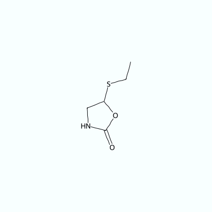 CCSC1CNC(=O)O1